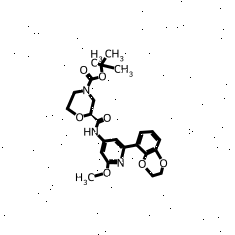 COc1cc(NC(=O)[C@@H]2CN(C(=O)OC(C)(C)C)CCO2)cc(-c2cccc3c2OCCO3)n1